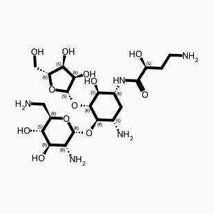 NCC[C@H](O)C(=O)N[C@@H]1C[C@H](N)[C@@H](O[C@H]2O[C@H](CN)[C@@H](O)[C@H](O)[C@H]2N)[C@H](O[C@@H]2O[C@H](CO)[C@@H](O)[C@H]2O)[C@H]1O